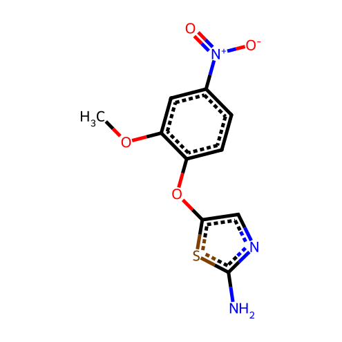 COc1cc([N+](=O)[O-])ccc1Oc1cnc(N)s1